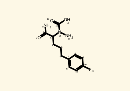 NC(=O)C(CCCc1ccc(F)cc1)N(N)C(=O)O